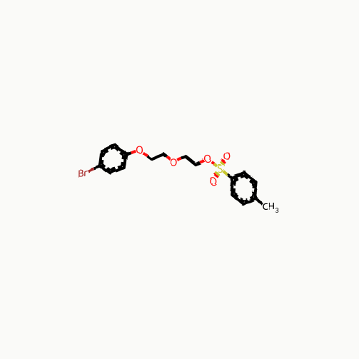 Cc1ccc(S(=O)(=O)OCCOCCOc2ccc(Br)cc2)cc1